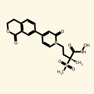 C[C@@](CCn1ccc(-c2ccc3c(c2)C(=O)OCC3)cc1=O)(C(=O)NO)S(C)(=O)=O